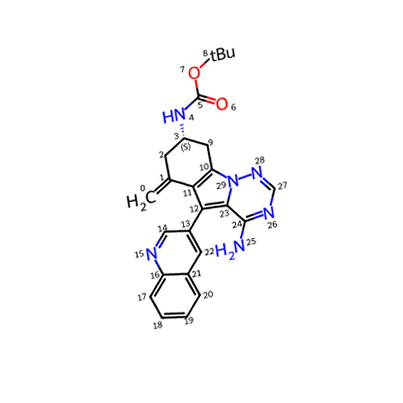 C=C1C[C@H](NC(=O)OC(C)(C)C)Cc2c1c(-c1cnc3ccccc3c1)c1c(N)ncnn21